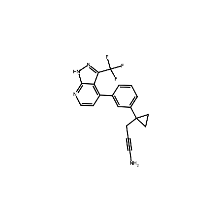 NC#CCC1(c2cccc(-c3ccnc4[nH]nc(C(F)(F)F)c34)c2)CC1